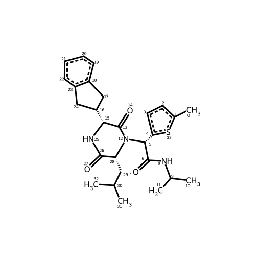 Cc1ccc([C@H](C(=O)NC(C)C)N2C(=O)[C@@H](C3Cc4ccccc4C3)NC(=O)[C@H]2CC(C)C)s1